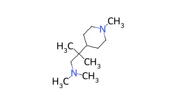 CN(C)CC(C)(C)C1CCN(C)CC1